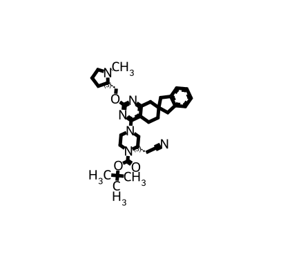 CN1CCC[C@H]1COc1nc2c(c(N3CCN(C(=O)OC(C)(C)C)[C@@H](CC#N)C3)n1)CCC1(Cc3ccccc3C1)C2